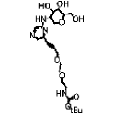 CC(C)(C)OC(=O)NCCOCCOCC#Cc1cncc(N[C@H]2CO[C@H](CO)[C@H](O)[C@@H]2O)n1